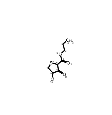 CCCOC(=O)C1SCC(Cl)C1=O